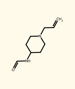 C=CCN1CCC(N[C]=O)CC1